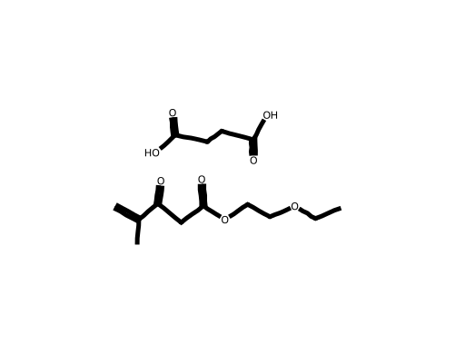 C=C(C)C(=O)CC(=O)OCCOCC.O=C(O)CCC(=O)O